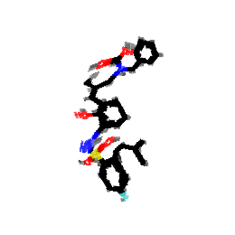 CC(C)Cc1cc(F)ccc1S(=O)(=O)Nc1cccc(C[C@@H](C)CN(Cc2ccccc2)C(=O)O)c1O